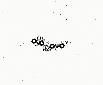 COc1cccc(C(=O)Nc2ccc(N(S)C(=O)Nc3ccc(N(C)C4CCCCC4)c(Cl)c3)cc2)c1